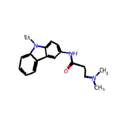 CCn1c2ccccc2c2cc(NC(=O)CCN(C)C)ccc21